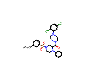 COc1cccc(S(=O)(=O)N2CCN(c3ccccc3)C(C(=O)N3CCN(c4cc(Cl)ccc4Cl)CC3)C2)c1